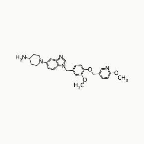 COc1ccc(COc2ccc(Cn3cnc4cc(N5CCC(N)CC5)ccc43)cc2OC)cn1